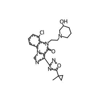 CC1(c2nc(-c3ncn4c3c(=O)n(CCN3CCCC(O)C3)c3c(Cl)cccc34)no2)CC1